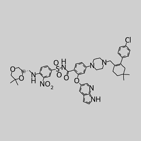 CC1(C)CCC(CN2CCN(c3ccc(C(=O)NS(=O)(=O)c4ccc(NC[C@H]5COCC(C)(C)O5)c([N+](=O)[O-])c4)c(Oc4cnc5[nH]ccc5c4)c3)CC2)=C(c2ccc(Cl)cc2)C1